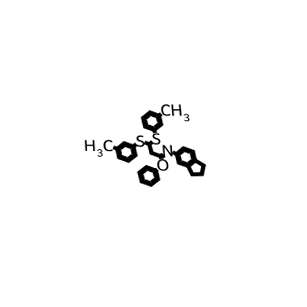 Cc1cccc(SC(CC(=Nc2ccc3c(c2)CCC3)Oc2ccccc2)Sc2cccc(C)c2)c1